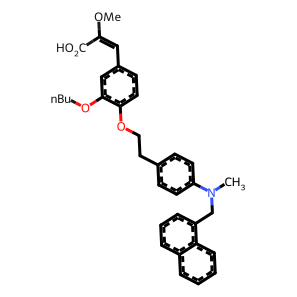 CCCCOc1cc(/C=C(/OC)C(=O)O)ccc1OCCc1ccc(N(C)Cc2cccc3ccccc23)cc1